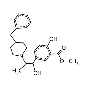 COC(=O)c1cc(C(O)C(C)N2CCC(Cc3ccccc3)CC2)ccc1O